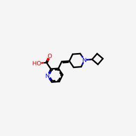 O=C(O)c1ncccc1C=C1CCN(C2CCC2)CC1